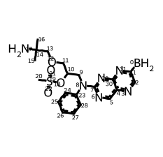 Bc1cnc2cnc(N(CC(COCC(C)(C)N)OS(C)(=O)=O)c3ccccc3)nc2n1